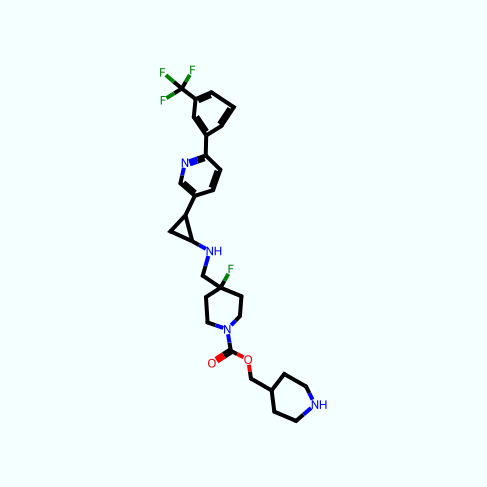 O=C(OCC1CCNCC1)N1CCC(F)(CNC2CC2c2ccc(-c3cccc(C(F)(F)F)c3)nc2)CC1